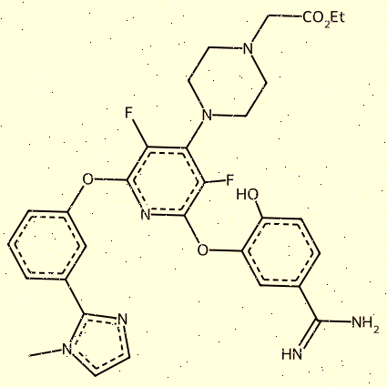 CCOC(=O)CN1CCN(c2c(F)c(Oc3cccc(-c4nccn4C)c3)nc(Oc3cc(C(=N)N)ccc3O)c2F)CC1